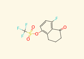 O=C1CCCc2c(OS(=O)(=O)C(F)(F)F)ccc(F)c21